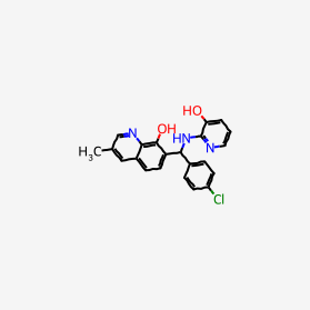 Cc1cnc2c(O)c(C(Nc3ncccc3O)c3ccc(Cl)cc3)ccc2c1